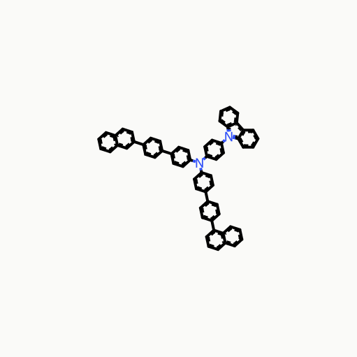 c1ccc2cc(-c3ccc(-c4ccc(N(c5ccc(-c6ccc(-c7cccc8ccccc78)cc6)cc5)c5ccc(-n6c7ccccc7c7ccccc76)cc5)cc4)cc3)ccc2c1